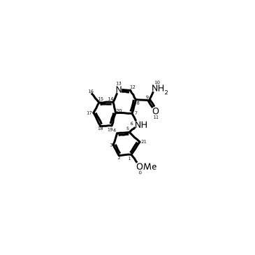 COc1cccc(Nc2c(C(N)=O)cnc3c(C)cccc23)c1